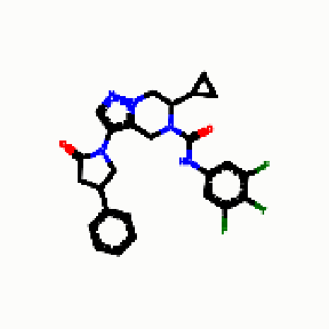 O=C1CC(c2ccccc2)CN1c1cnn2c1CN(C(=O)Nc1cc(F)c(F)c(F)c1)C(C1CC1)C2